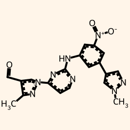 Cc1nn(-c2ccnc(Nc3cc(-c4cnn(C)c4)cc([N+](=O)[O-])c3)n2)cc1C=O